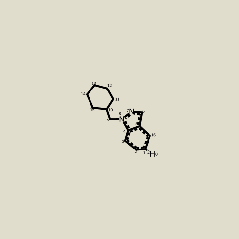 [2H]c1ccc2c(cnn2CC2CCCCC2)c1